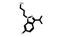 CC(C)c1nn(CCCO)c2cc(F)ccc12